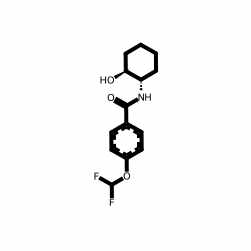 O=C(N[C@H]1CCCC[C@@H]1O)c1ccc(OC(F)F)cc1